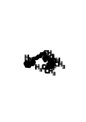 CCc1c(F)cc(C(C)C)cc1C(C(=O)O)N1CC[C@@H](N(C)CCCCCc2ccc3c(n2)NCCC3)C1